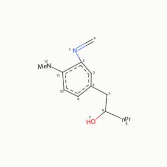 C=Nc1cc(CC(O)CCC)ccc1NC